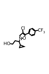 OCCC(C1CC1)N1CC(Cl)=C(c2ccc(C(F)(F)F)cc2)O1